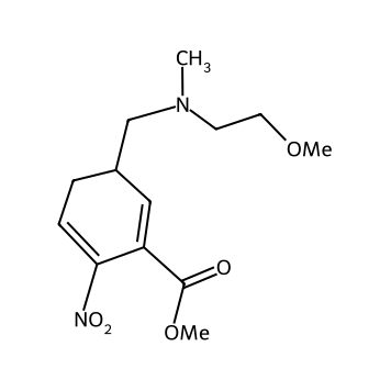 COCCN(C)CC1C=C(C(=O)OC)C([N+](=O)[O-])=CC1